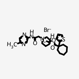 Cc1cnc(NC(=O)C[N+]23CCC(CC2)[C@@H](OC(=O)C2(c4cccs4)CCCCCC2)C3)cn1.[Br-]